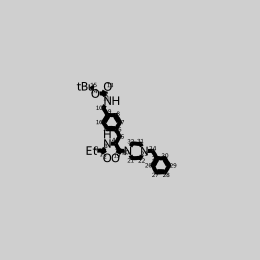 CCC(=O)NC(Cc1ccc(CNC(=O)OC(C)(C)C)cc1)C(=O)N1CCN(Cc2ccccc2)CC1